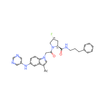 CC(=O)c1cn(CC(=O)N2C[C@H](F)C[C@H]2C(=O)NCCCc2ccccc2)c2ccc(Nc3cncnc3)cc12